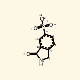 O=C1NCc2ccc(S(=O)(=O)C(F)(F)F)cc21